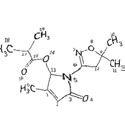 CC1=CC(=O)N(C2=NOC(C)(C)C2)C1OC(=O)C(C)C